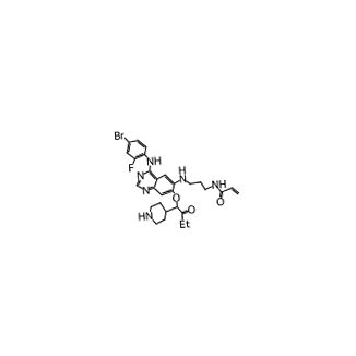 C=CC(=O)NCCCNc1cc2c(Nc3ccc(Br)cc3F)ncnc2cc1OC(C(=O)CC)C1CCNCC1